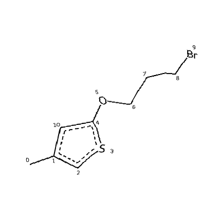 Cc1csc(OCCCBr)c1